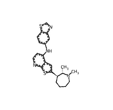 C[C@H]1[C@H](c2cc3c(Nc4ccc5scnc5c4)ccnc3s2)CCCCN1C